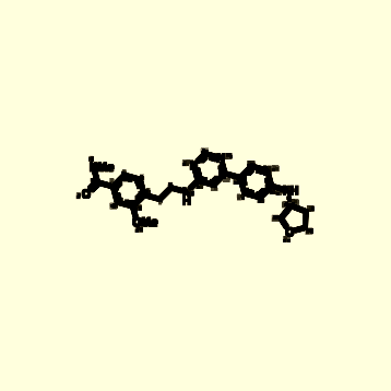 CNC(=O)c1ccc(CCNc2cc(-c3ccc(N[C@@H]4CCOC4)nc3)ncn2)c(OC)c1